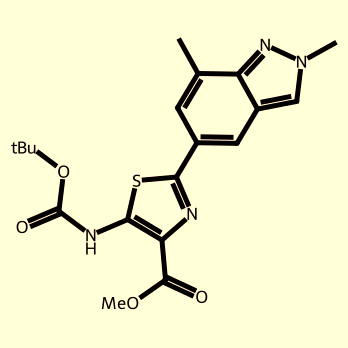 COC(=O)c1nc(-c2cc(C)c3nn(C)cc3c2)sc1NC(=O)OC(C)(C)C